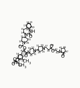 Cc1cc(C[C@@H](OC(=O)N2CCC(N3CCc4ccccc4NC3=O)CC2)C(=O)N2CCN(C3CCN(CCC(=O)OCCN4CCCC4=O)CC3)CC2)cc2oc(=O)n(C)c12